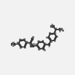 CC(O)c1ccc(Oc2ccc(NC(=O)c3ccc(C(F)(F)F)cc3)cn2)cc1